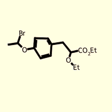 CCOC(=O)C(Cc1ccc(OC(C)Br)cc1)OCC